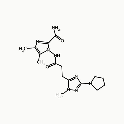 Cc1nc(C(N)=O)n(NC(=O)CCc2nc(N3CCCC3)nn2C)c1C